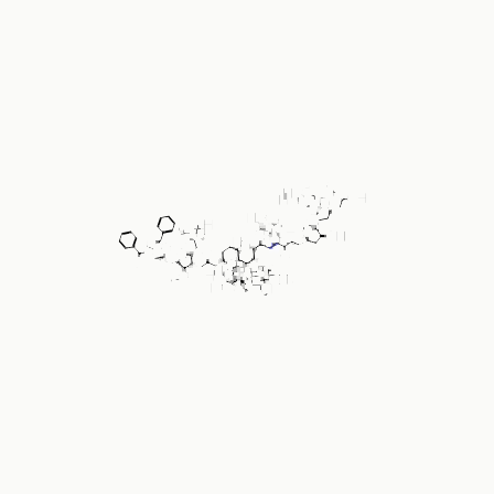 C=C=C(C)C[C@H](CC[C@@H]1O[C@@H](CCC(O)/C=C/[C@H](O[Si](C)(C)C(C)(C)C)[C@@H]2O[C@H]3CC[C@H](CC(=O)C[C@@H]4[C@@H](OC)[C@@H](C[C@H](COC(=O)c5ccccc5)OC(=O)c5ccccc5)O[C@H]4CC(OC)OC)O[C@@H]3[C@H](O[Si](C)(C)C(C)(C)C)[C@@H]2O[Si](C)(C)C(C)(C)C)CC1=C)O[Si](CC)(CC)CC